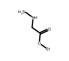 CCOC(=O)CN[SiH3]